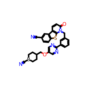 N#CB1CCC(COc2cnc(-c3cccc(Cn4c(=O)ccc5c6cc(C#N)ccc6sc54)c3)nc2)CC1